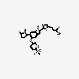 CN1C(=O)CCC1c1cc2[nH]c(-c3ncc(CCC(=O)O)s3)cc2cc1Oc1ccc(S(C)(=O)=O)nc1